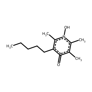 CCCCCc1c(C)n(O)c(C)c(C)c1=O